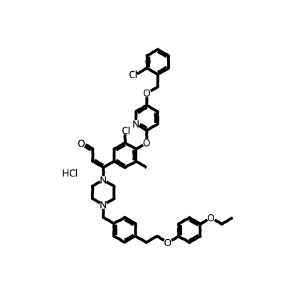 CCOc1ccc(OCCc2ccc(CN3CCN(/C(=C/C=O)c4cc(C)c(Oc5ccc(OCc6ccccc6Cl)cn5)c(Cl)c4)CC3)cc2)cc1.Cl